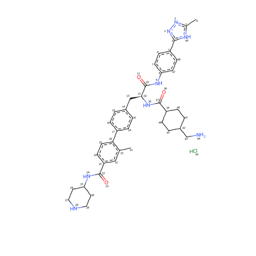 Cc1nnc(-c2ccc(NC(=O)[C@H](Cc3ccc(-c4ccc(C(=O)NC5CCNCC5)cc4C)cc3)NC(=O)C3CCC(CN)CC3)cc2)[nH]1.Cl